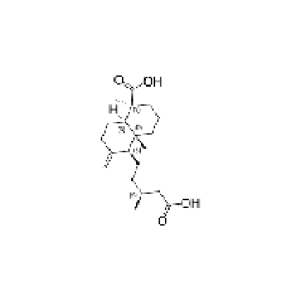 C=C1CC[C@@H]2[C@](C)(CCC[C@]2(C)C(=O)O)[C@H]1CC[C@H](C)CC(=O)O